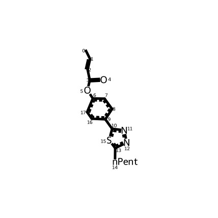 C/C=C/C(=O)Oc1ccc(-c2nnc(CCCCC)s2)cc1